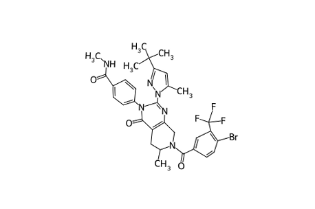 CNC(=O)c1ccc(-n2c(-n3nc(C(C)(C)C)cc3C)nc3c(c2=O)CC(C)N(C(=O)c2ccc(Br)c(C(F)(F)F)c2)C3)cc1